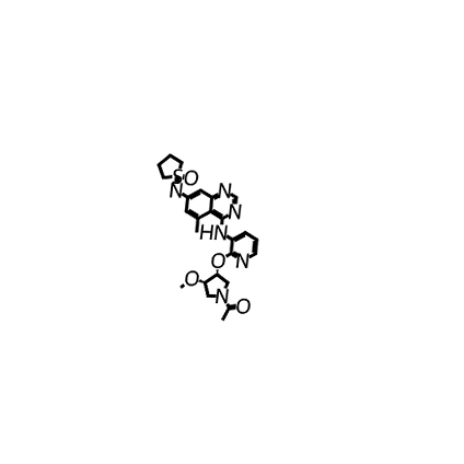 CO[C@@H]1CN(C(C)=O)C[C@H]1Oc1ncccc1Nc1ncnc2cc(N=S3(=O)CCCC3)cc(C)c12